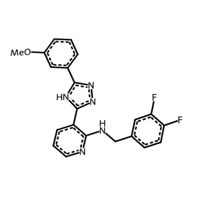 COc1cccc(-c2nnc(-c3cccnc3NCc3ccc(F)c(F)c3)[nH]2)c1